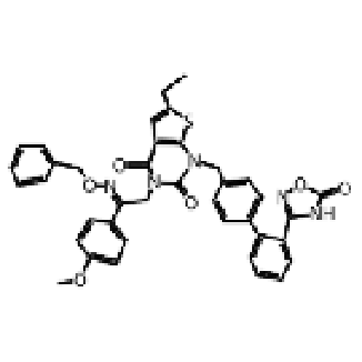 CCc1cc2c(=O)n(CC(=NOCc3ccccc3)c3ccc(OC)cc3)c(=O)n(Cc3ccc(-c4ccccc4-c4noc(=O)[nH]4)cc3)c2s1